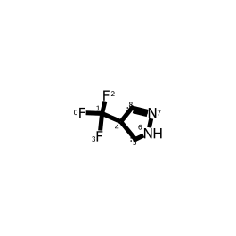 FC(F)(F)C1[C]NN=[C]1